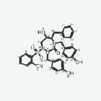 N#Cc1ccccc1S(=O)(=O)N1CC(O)C(Cc2ccccc2)N(Cc2ccc(O)cc2)C(=O)N1Cc1ccc(O)cc1